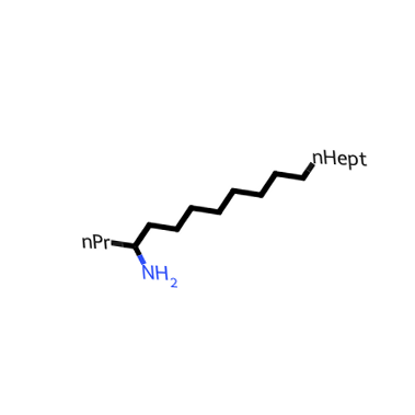 CCCCCCCCCCCCCCCC(N)CCC